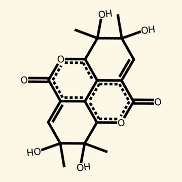 CC1(O)C=c2c(=O)oc3c4c(c(=O)oc(c24)C1(C)O)=CC(C)(O)C3(C)O